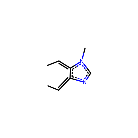 C/C=c1/ncn(C)/c1=C/C